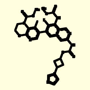 Cc1c(-c2cc3cc(NC(=O)OC4CC(n5ccnc5)C4)ncc3c(NC(=O)OC(C)(C)C)c2F)cnc2c1N(C(=O)OC(C)(C)C)CCO2